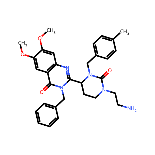 COc1cc2nc(C3CCN(CCN)C(=O)N3Cc3ccc(C)cc3)n(Cc3ccccc3)c(=O)c2cc1OC